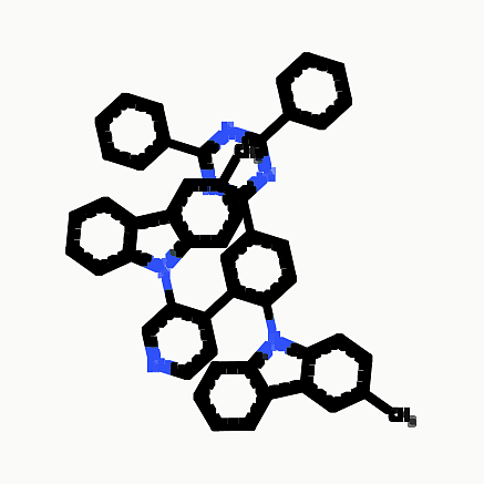 Cc1ccc2c(c1)c1ccccc1n2-c1ccc(-c2nc(-c3ccccc3)nc(-c3ccccc3)n2)cc1-c1ccncc1-n1c2ccccc2c2cc(C)ccc21